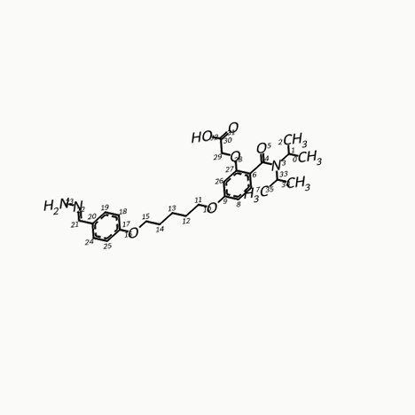 CC(C)N(C(=O)c1ccc(OCCCCCOc2ccc(C=NN)cc2)cc1OCC(=O)O)C(C)C